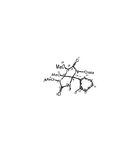 CON1C(=O)N(C)C2(c3ccccc3C)N(OC)C(=O)N(OC)C12OC